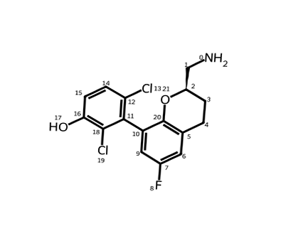 NC[C@H]1CCc2cc(F)cc(-c3c(Cl)ccc(O)c3Cl)c2O1